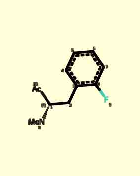 CN[C@@H](Cc1ccccc1F)C(C)=O